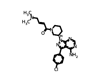 CN(C)CC=CC(=O)N1CCC[C@@H](n2nc(-c3ccc(Cl)cc3)c3c(N)ncnc32)C1